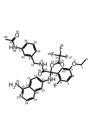 CCOc1ccc(F)c(C(Nc2ccc3c(N)nccc3c2)(OC(=O)C(F)(F)F)C(=O)NCc2cccc(NC(C)=O)c2)c1